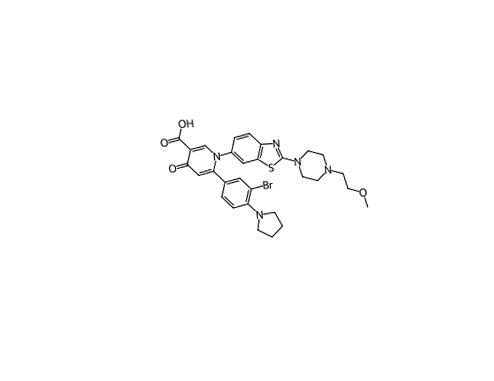 COCCN1CCN(c2nc3ccc(-n4cc(C(=O)O)c(=O)cc4-c4ccc(N5CCCC5)c(Br)c4)cc3s2)CC1